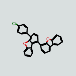 Clc1ccc(-c2ccc(-c3cccc4c3oc3ccccc34)c3c2oc2ccccc23)cc1